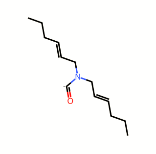 CCC/C=C/CN([C]=O)C/C=C/CCC